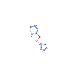 [c]1nccn1OCc1cnccn1